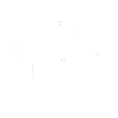 Cc1nc2cccc(C)c2nc1Cl